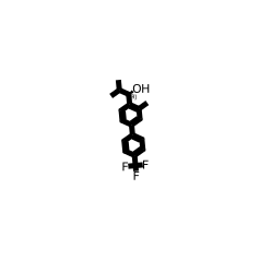 Cc1cc(-c2ccc(C(F)(F)F)cc2)ccc1[C@H](O)C(C)C